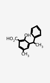 Cc1cc(C(=O)O)c(O)c(C(C)c2ccccc2)c1